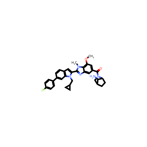 COc1cc(C(=O)N2CC3CCC2C3N)cc2nc(-c3cc4ccc(-c5ccc(F)cc5)cc4n3CC3CC3)n(C)c12